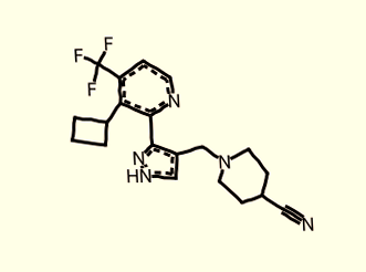 N#CC1CCN(Cc2c[nH]nc2-c2nccc(C(F)(F)F)c2C2CCC2)CC1